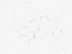 CCCn1cc(C#C[C@@](C)(O)c2cc(C)on2)c2c(C(=O)OCc3ccccc3C)c(C)[nH]c2c1=O